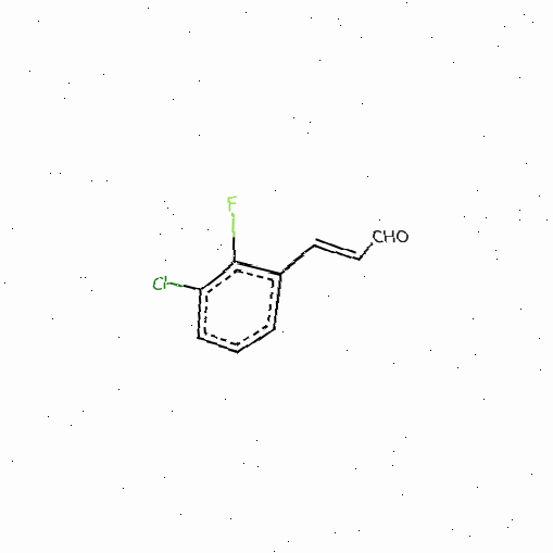 O=C/C=C/c1cccc(Cl)c1F